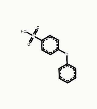 O=S(=O)(O)c1c[c]c(Oc2ccccc2)cc1